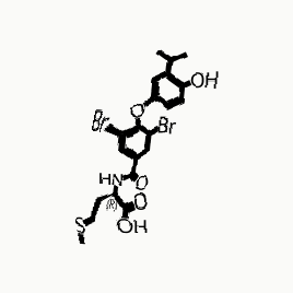 CSCC[C@@H](NC(=O)c1cc(Br)c(Oc2ccc(O)c(C(C)C)c2)c(Br)c1)C(=O)O